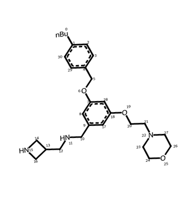 CCCCc1ccc(COc2cc(CNCC3CNC3)cc(OCCN3CCOCC3)c2)cc1